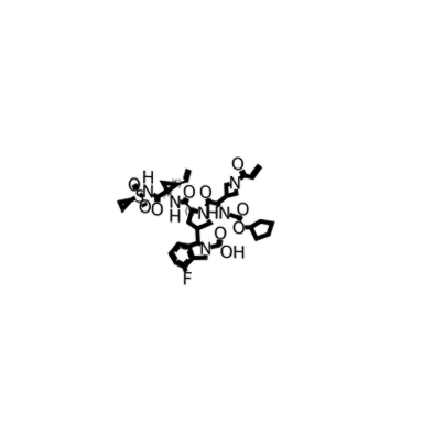 C=CC(=O)N1CC(C(NC(=O)OC2CCCC2)C(=O)N2CC(C3c4cccc(F)c4CN3C(=O)O)C[C@H]2C(=O)N[C@]2(C(=O)NS(=O)(=O)C3CC3)C[C@H]2C=C)C1